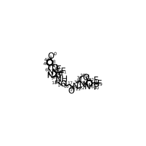 COc1ccc(Cn2ncc(N[C@@H](C)COCCC(=O)N3CCN4c5ncc(C(F)(F)F)cc5OCCC4C3)c(C(F)(F)F)c2=O)cc1